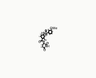 COc1cccc(S(=O)(=O)Nc2ccc3c(c2)CN(C2CCC(=O)NC2=O)C3=O)c1